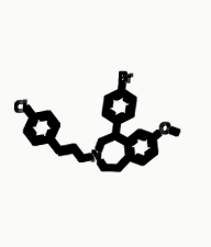 COc1ccc2c(c1)C(c1ccc(Br)cc1)CN(C/C=C/c1ccc(Cl)cc1)CC2